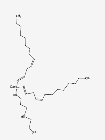 CCCCCCCC/C=C\CC=NP(=O)(N=CC/C=C\CCCCCCCC)NCCCNCCO